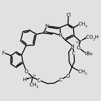 Cc1c([C@H](OC(C)(C)C)C(=O)O)c2n3cc(nc3c1Cl)-c1cccc(c1)-c1cc(F)ccc1O[C@@H](C)CCCCOC1(C)CCN2CC1